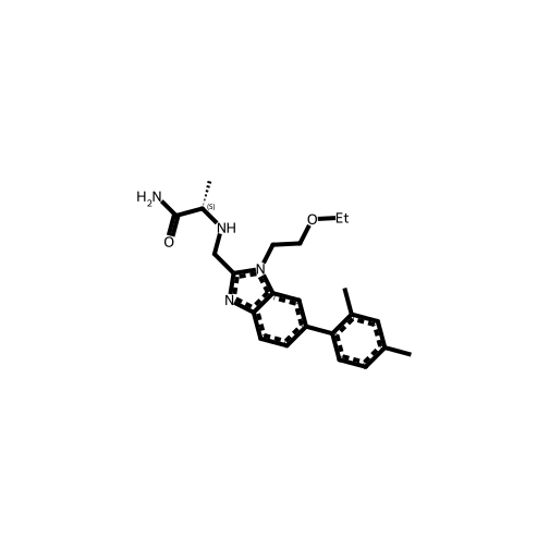 CCOCCn1c(CN[C@@H](C)C(N)=O)nc2ccc(-c3ccc(C)cc3C)cc21